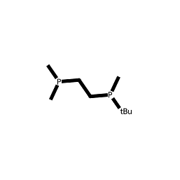 CP(C)CCP(C)C(C)(C)C